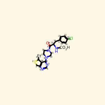 CCC1SCc2ncnc(N3CCN(C(=O)C(Cc4ccc(Cl)cc4)NC(=O)O)CC3)c21